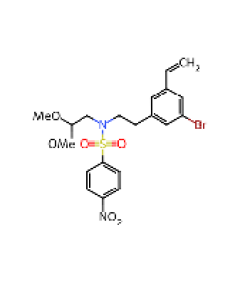 C=Cc1cc(Br)cc(CCN(CC(OC)OC)S(=O)(=O)c2ccc([N+](=O)[O-])cc2)c1